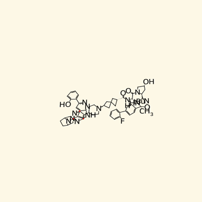 CC(C)(C)[C@H](NC(=O)[C@H]1CC2(C1)C[C@H](N1CCC(c3cnc(N4C5CCC4CN(c4c[nH]c6nnc(-c7ccccc7O)cc46)C5)nc3)CC1)C2)C(=O)N1C[C@H](O)C[C@H]1C1=NO[C@@](C)(c2ccc(-c3ccccc3F)cc2)N1